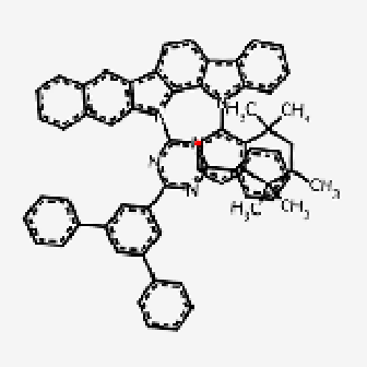 CC1CC(C)(C)c2c(-n3c4ccccc4c4ccc5c6cc7ccccc7cc6n(-c6nc(-c7ccccc7)nc(-c7cc(-c8ccccc8)cc(-c8ccccc8)c7)n6)c5c43)cccc2C1(C)C